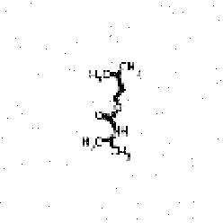 CC(C)CCOC(=O)NC(C)C